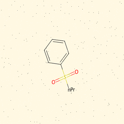 CCCS(=O)(=O)c1[c]cccc1